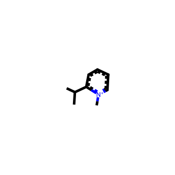 CC(C)c1cccc[n+]1C